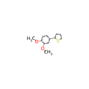 COc1ccc(-c2cccs2)cc1OC